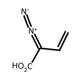 C=CC(=[N+]=[N-])C(=O)O